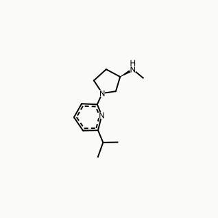 CN[C@@H]1CCN(c2cccc(C(C)C)n2)C1